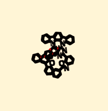 c1ccc(-c2ccc(-c3nc(-c4cccc5nc(-c6ccccc6)oc45)nc(-n4c5ccccc5c5ccc6c7ccccc7n(-c7cccc(-c8cccc9c8oc8ccccc89)c7)c6c54)n3)cc2)cc1